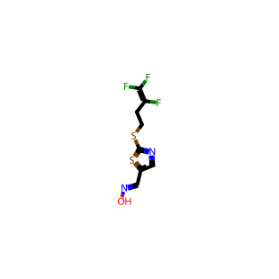 O/N=C/c1cnc(SCCC(F)=C(F)F)s1